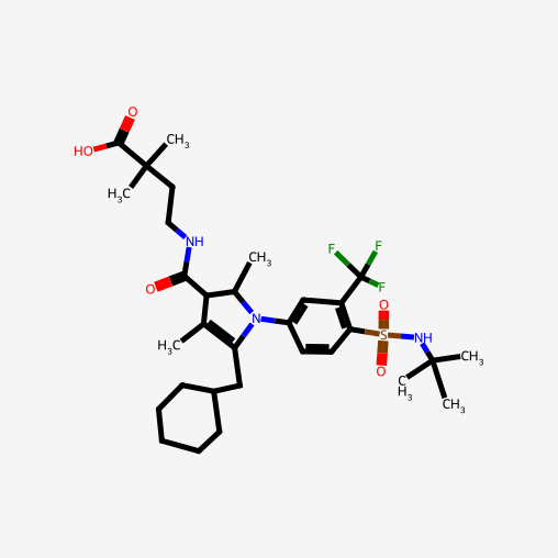 CC1=C(CC2CCCCC2)N(c2ccc(S(=O)(=O)NC(C)(C)C)c(C(F)(F)F)c2)C(C)C1C(=O)NCCC(C)(C)C(=O)O